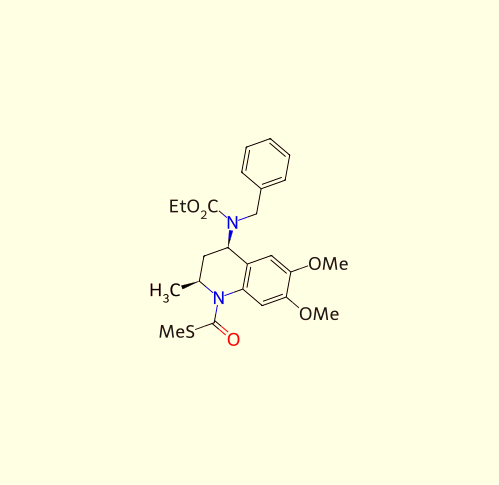 CCOC(=O)N(Cc1ccccc1)[C@@H]1C[C@H](C)N(C(=O)SC)c2cc(OC)c(OC)cc21